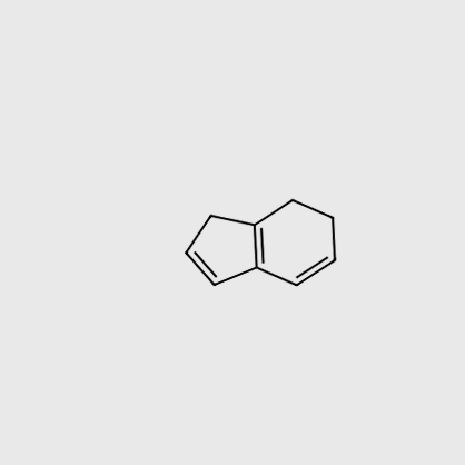 C1=CC2=C(CC=C2)CC1